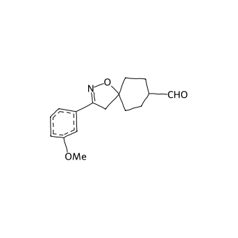 COc1cccc(C2=NOC3(CCC(C=O)CC3)C2)c1